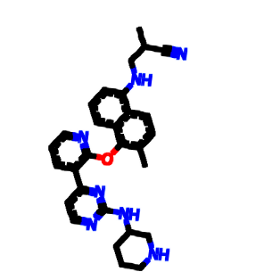 Cc1ccc2c(NCC(C)C#N)cccc2c1Oc1ncccc1-c1ccnc(NC2CCCNC2)n1